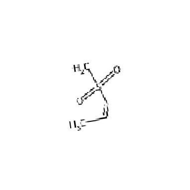 [CH2]S(=O)(=O)/C=C\C